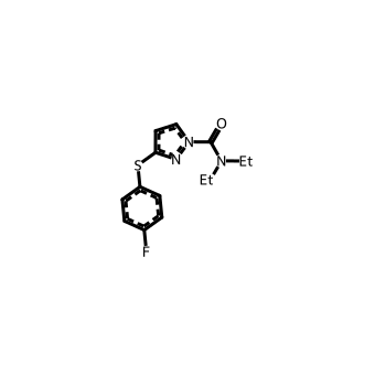 CCN(CC)C(=O)n1ccc(Sc2ccc(F)cc2)n1